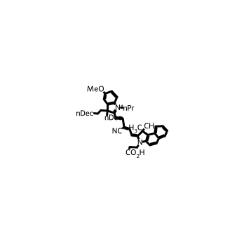 CCCCCCCCCCCCC1(CCCCCCCCCC)C(/C=C/C(C#N)=C/C=C2/N(CCC(=O)O)c3ccc4ccccc4c3C2(C)C)=[N+](CCC)c2ccc(OC)cc21